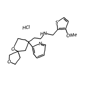 COc1ccsc1CNCCC1(c2ccccn2)CCOC2(CCOC2)C1.Cl